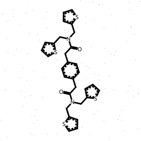 O=C(Cc1ccc(CC(=O)N(Cc2cccs2)Cc2cccs2)cc1)N(Cc1cccs1)Cc1cccs1